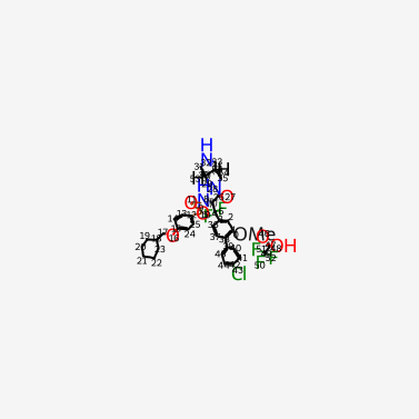 COc1cc(C(F)(F)[C@H](NS(=O)(=O)c2ccc(OCC3CCCCC3)cc2)C(=O)N2C[C@H]3CNC[C@H]3C2)ccc1-c1ccc(Cl)cc1.O=C(O)C(F)(F)F